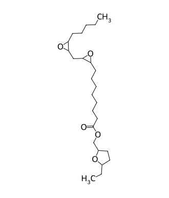 CCCCCC1OC1CC1OC1CCCCCCCC(=O)OCC1CCC(CC)O1